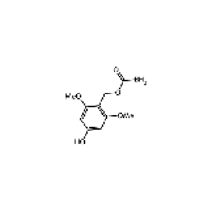 BC(=O)OCc1c(OC)cc(O)cc1OC